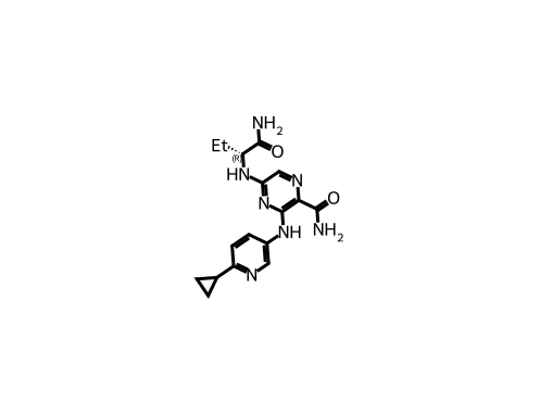 CC[C@@H](Nc1cnc(C(N)=O)c(Nc2ccc(C3CC3)nc2)n1)C(N)=O